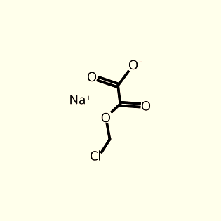 O=C([O-])C(=O)OCCl.[Na+]